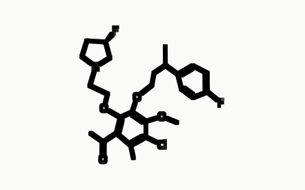 COc1c(Cl)c(C)c(C(C)=O)c(OCCN2CC[C@@H](F)C2)c1OCCC(C)c1ccc(F)cc1